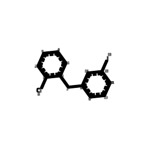 Clc1ccccc1Cc1cccc(I)c1